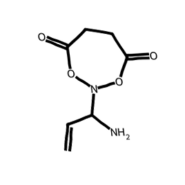 C=CC(N)N1OC(=O)CCC(=O)O1